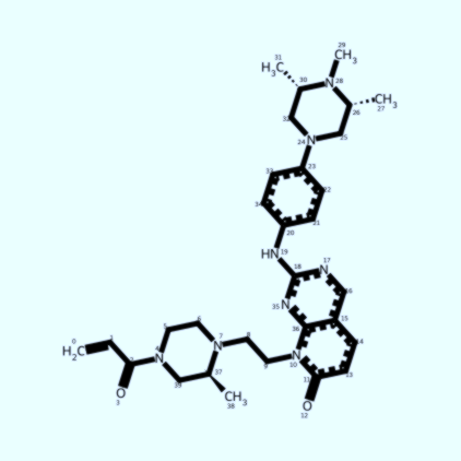 C=CC(=O)N1CCN(CCn2c(=O)ccc3cnc(Nc4ccc(N5C[C@@H](C)N(C)[C@@H](C)C5)cc4)nc32)[C@@H](C)C1